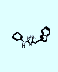 c1ccc(Nc2n[nH]c(Cc3ccc4ccccc4c3)n2)cc1